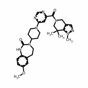 COc1ccc2c(c1)CCN(C1CCN(c3cc(C(=O)N4Cc5cnn(C)c5C(C)(C)C4)ncn3)CC1)C(=O)N2